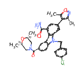 Cc1noc(C)c1-c1cc(C(N)=O)c2c3cc(C(=O)N4C[C@@H](C)O[C@@H](C)C4)ccc3n(Cc3ccc(Cl)cc3)c2c1